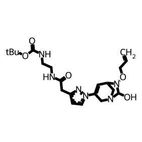 C=CCON1C2C=C(n3ccc(CC(=O)NCCNC(=O)OC(C)(C)C)n3)CN(C2)C1O